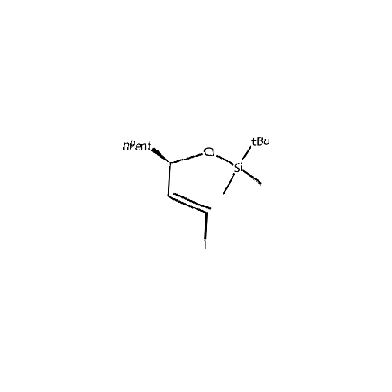 CCCCC[C@H](C=CI)O[Si](C)(C)C(C)(C)C